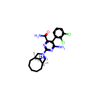 C[C@]12CCCCC[C@](C)(CN(c3nc(N)c(-c4cccc(Cl)c4Cl)c(C(N)=O)n3)C1)[C@H]2N